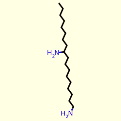 CCCCCCCCC(N)CCCCCCCCCN